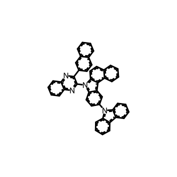 c1ccc2cc(-c3nc4ccccc4nc3-n3c4ccc(-n5c6ccccc6c6ccccc65)cc4c4c5ccccc5ccc43)ccc2c1